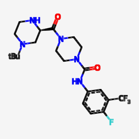 CC(C)(C)N1CCN[C@@H](C(=O)N2CCN(C(=O)Nc3ccc(F)c(C(F)(F)F)c3)CC2)C1